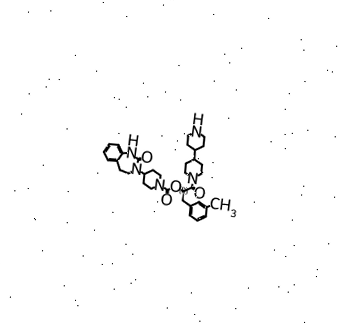 Cc1cccc(C[C@@H](OC(=O)N2CCC(N3CCc4ccccc4NC3=O)CC2)C(=O)N2CCC(C3CCNCC3)CC2)c1